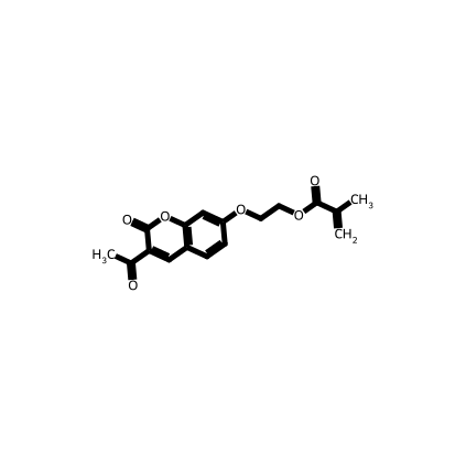 C=C(C)C(=O)OCCOc1ccc2cc(C(C)=O)c(=O)oc2c1